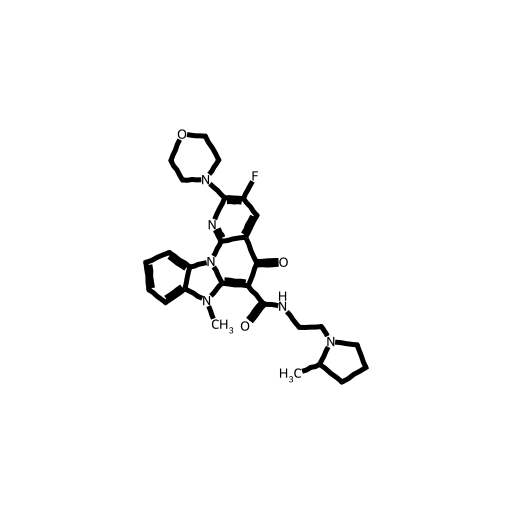 CC1CCCN1CCNC(=O)c1c(=O)c2cc(F)c(N3CCOCC3)nc2n2c3ccccc3n(C)c12